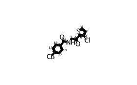 O=C(NCC(=O)c1sccc1Cl)c1ccc(Cl)cc1